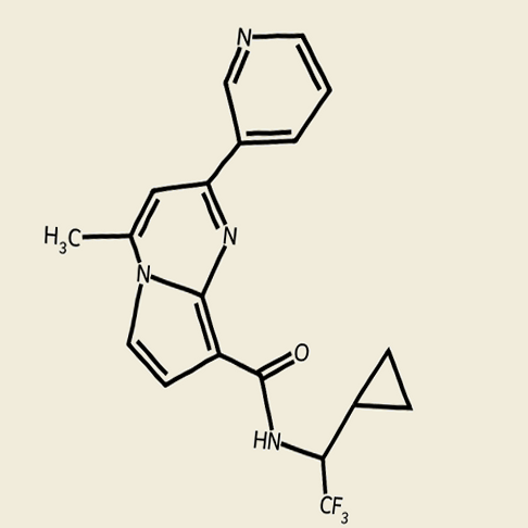 Cc1cc(-c2cccnc2)nc2c(C(=O)NC(C3CC3)C(F)(F)F)ccn12